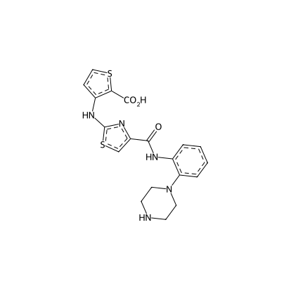 O=C(Nc1ccccc1N1CCNCC1)c1csc(Nc2ccsc2C(=O)O)n1